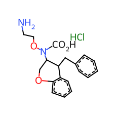 Cl.NCCON(C(=O)O)C1COc2ccccc2C1Cc1ccccc1